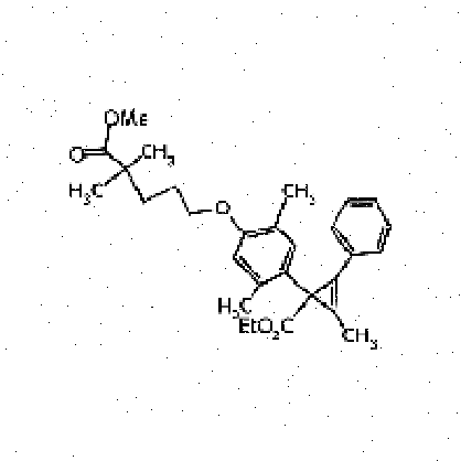 CCOC(=O)C1(c2cc(C)c(OCCCC(C)(C)C(=O)OC)cc2C)C(C)=C1c1ccccc1